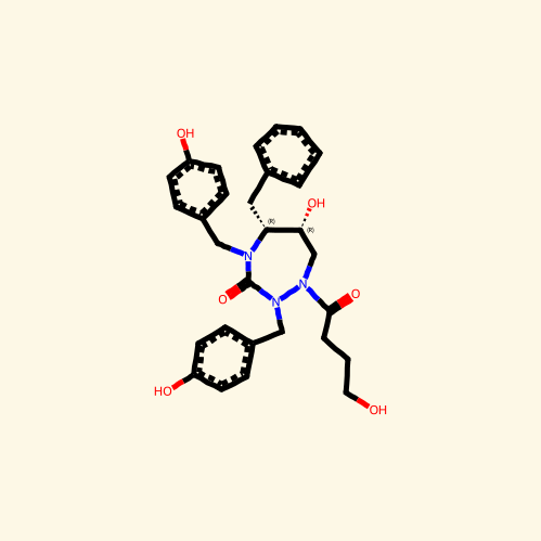 O=C(CCCO)N1C[C@@H](O)[C@@H](Cc2ccccc2)N(Cc2ccc(O)cc2)C(=O)N1Cc1ccc(O)cc1